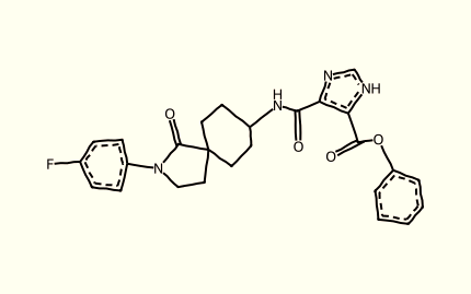 O=C(NC1CCC2(CC1)CCN(c1ccc(F)cc1)C2=O)c1nc[nH]c1C(=O)Oc1ccccc1